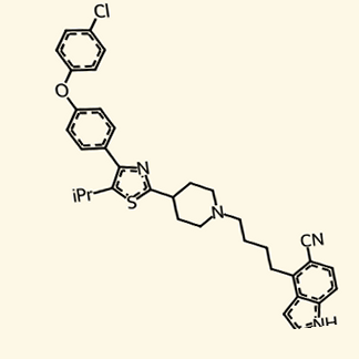 CC(C)c1sc(C2CCN(CCCCc3c(C#N)ccc4[nH]ccc34)CC2)nc1-c1ccc(Oc2ccc(Cl)cc2)cc1